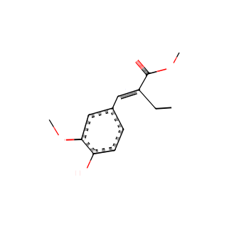 CC/C(=C\c1ccc(O)c(OC)c1)C(=O)OC